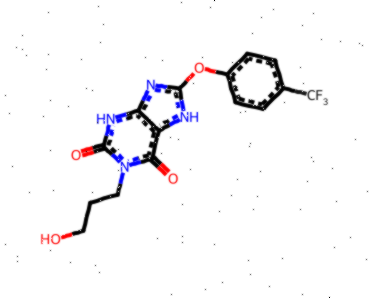 O=c1[nH]c2nc(Oc3ccc(C(F)(F)F)cc3)[nH]c2c(=O)n1CCCO